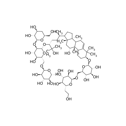 C[C@H](CC[C@@H](O[C@@H]1O[C@H](CO[C@H]2O[C@H](CO)[C@@H](O)[C@H](O)[C@H]2O)[C@@H](O)[C@H](O)[C@H]1O[C@@H]1O[C@H](CO)C[C@H](O)[C@H]1O)C(C)(C)O)C1CC[C@@]2(C)C3CC=C4C(CC[C@H](O[C@@H]5O[C@H](CO[C@H]6O[C@H](CCO)[C@@H](O)[C@H](O)[C@H]6O)[C@@H](O)[C@H](O)[C@H]5O)C4(C)C)[C@]3(C)[C@H](O)C[C@]12C